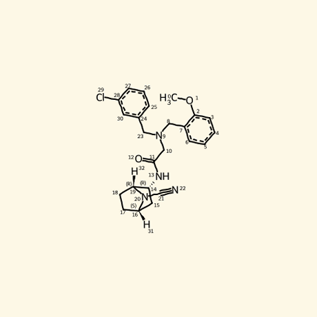 COc1ccccc1CN(CC(=O)N[C@@H]1C[C@@H]2CC[C@H]1N2C#N)Cc1cccc(Cl)c1